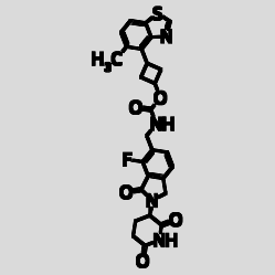 Cc1ccc2scnc2c1C1CC(OC(=O)NCc2ccc3c(c2F)C(=O)N([C@@H]2CCC(=O)NC2=O)C3)C1